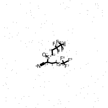 N#CC(CCSC(F)(F)F)[S+]([O-])CCC(F)(F)C(F)(F)F